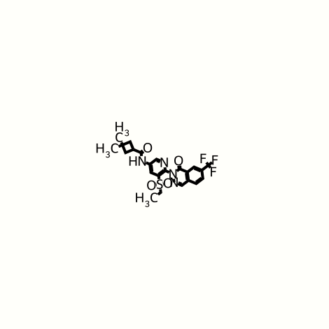 CCS(=O)(=O)c1cc(NC(=O)C2CC(C)(C)C2)cnc1-n1ncc2ccc(C(F)(F)F)cc2c1=O